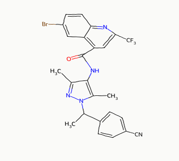 Cc1nn(C(C)c2ccc(C#N)cc2)c(C)c1NC(=O)c1cc(C(F)(F)F)nc2ccc(Br)cc12